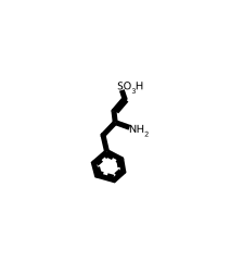 NC(C=CS(=O)(=O)O)Cc1ccccc1